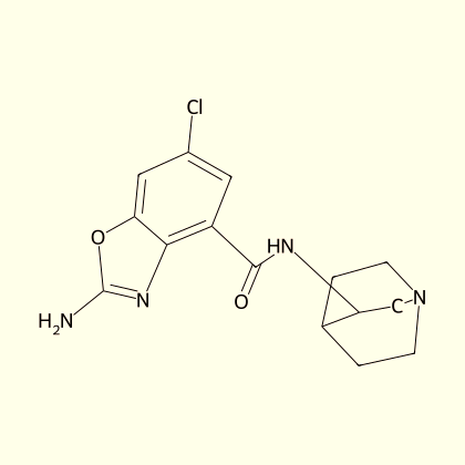 Nc1nc2c(C(=O)NC3CN4CCC3CC4)cc(Cl)cc2o1